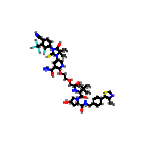 Cc1ncsc1-c1ccc(CNC(=O)[C@@H]2C[C@@H](O)CN2C(=O)[C@@H](NC(=O)COCCOc2ncc(N3C(=S)N(c4ccc(C#N)c(C(F)(F)F)c4F)C(=O)C3(C)C)cc2C(N)=O)C(C)(C)C)cc1